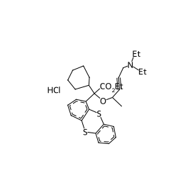 CCOC(=O)C(OC(C)C#CCN(CC)CC)(c1cccc2c1Sc1ccccc1S2)C1CCCCC1.Cl